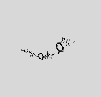 CC(=O)Nc1ccc(CCCC(=O)Nc2ccc(CCNN)cc2)cc1